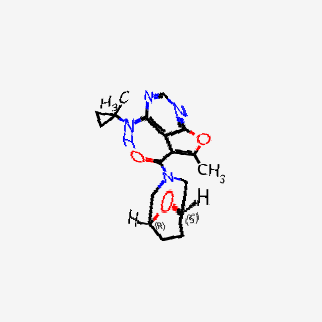 Cc1oc2ncnc(NC3(C)CC3)c2c1C(=O)N1C[C@H]2CC[C@@H](C1)O2